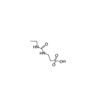 CCNC(=O)NCCS(=O)(=O)O